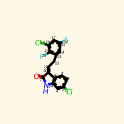 O=C1Nc2cc(Cl)ccc2/C1=C\Cc1cc(F)cc(Cl)c1F